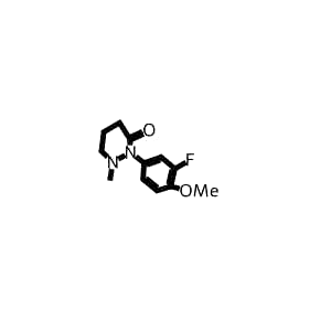 COc1ccc(N2C(=O)CCCN2C)cc1F